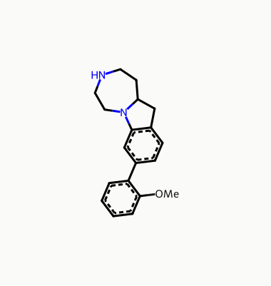 COc1ccccc1-c1ccc2c(c1)N1CCNCCC1C2